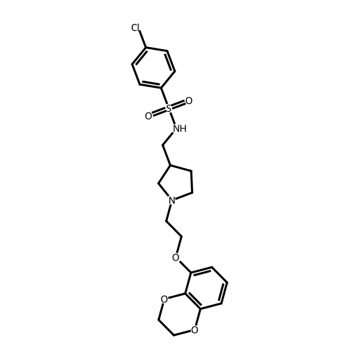 O=S(=O)(NCC1CCN(CCOc2cccc3c2OCCO3)C1)c1ccc(Cl)cc1